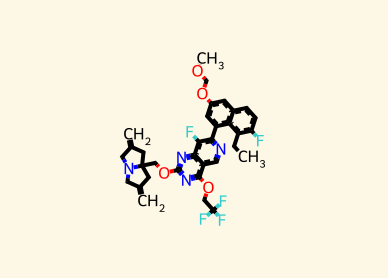 C=C1CN2CC(=C)CC2(COc2nc(OCC(F)(F)F)c3cnc(-c4cc(OCOC)cc5ccc(F)c(CC)c45)c(F)c3n2)C1